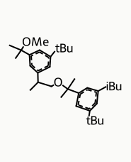 CCC(C)c1cc(C(C)(C)C)cc(C(C)(C)OCC(C)c2cc(C(C)(C)C)cc(C(C)(C)OC)c2)c1